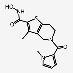 Cc1c(C(=O)NO)sc2c1CN(C(=O)c1cccn1C)CC2